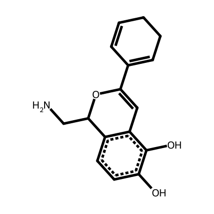 NCC1OC(C2=CCCC=C2)=Cc2c1ccc(O)c2O